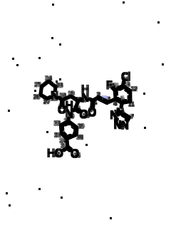 O=C(/C=C/c1c(-n2cnnn2)ccc(Cl)c1F)NC(CC(=O)N1CCCCC1)C(=O)Nc1ccc(C(=O)O)cc1